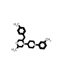 Cc1ccc(CC2COC(C)CN2C2CCN(c3cccc(C)c3)CC2)cc1